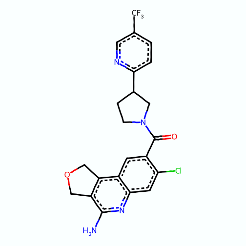 Nc1nc2cc(Cl)c(C(=O)N3CCC(c4ccc(C(F)(F)F)cn4)C3)cc2c2c1COC2